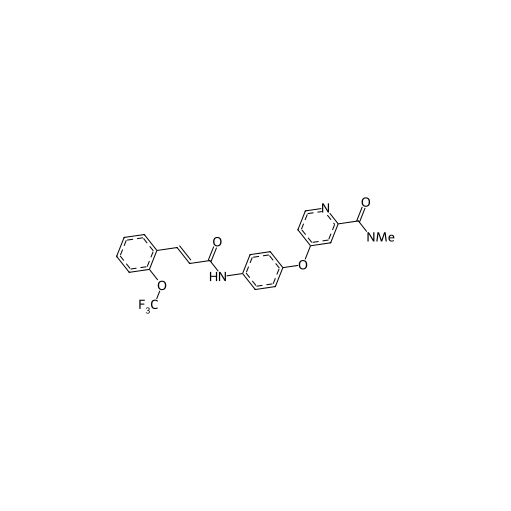 CNC(=O)c1cc(Oc2ccc(NC(=O)C=Cc3ccccc3OC(F)(F)F)cc2)ccn1